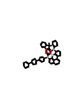 CC1(C)c2ccccc2-c2cc(N(c3ccc(-c4ccc(-c5ccccc5)cc4)cc3)c3ccc4cccc5c4c3Oc3c-5cccc3N(c3ccccc3)c3ccccc3)ccc21